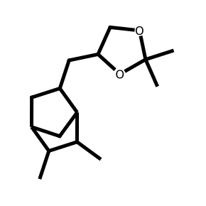 CC1C2CC(CC3COC(C)(C)O3)C(C2)C1C